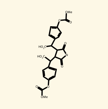 COC(=O)Oc1ccc(C(C(=O)O)C2C(=O)[N]C(=O)C2C(C(=O)O)c2ccc(OC(=O)OC)cc2)cc1